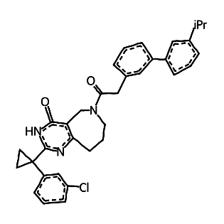 CC(C)c1cccc(-c2cccc(CC(=O)N3CCCc4nc(C5(c6cccc(Cl)c6)CC5)[nH]c(=O)c4C3)c2)c1